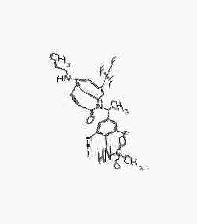 CCCNc1cc(C(F)(F)F)ccc1/C=C\C(=O)NC(C)c1cc(F)c(NS(C)(=O)=O)c(F)c1